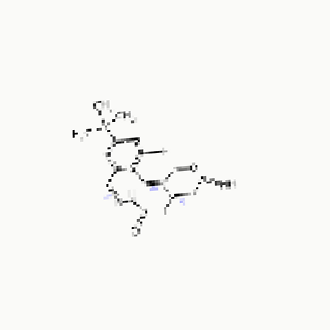 CC(C)(C)c1cc(F)c(/C=C(C=O)/C(I)=C\C=N)c(/C=N\NC=O)c1